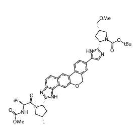 COC[C@H]1C[C@@H](c2ncc(-c3ccc4c(c3)COc3cc5c(ccc6nc([C@@H]7C[C@H](C)CN7C(=O)[C@@H](NC(=O)OC)C(C)C)[nH]c65)cc3-4)[nH]2)N(C(=O)OC(C)(C)C)C1